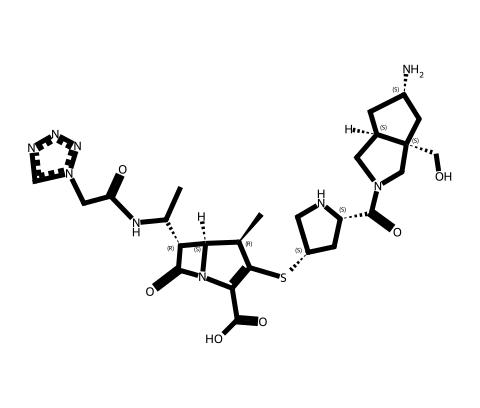 CC(NC(=O)Cn1cnnn1)[C@H]1C(=O)N2C(C(=O)O)=C(S[C@@H]3CN[C@H](C(=O)N4C[C@H]5C[C@H](N)C[C@@]5(CO)C4)C3)[C@H](C)[C@H]12